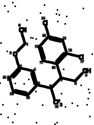 N#CCOc1cc(C(C(CO)c2ccc(Cl)cc2Cl)C(F)(F)F)ccn1